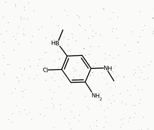 CBc1cc(NC)c(N)cc1Cl